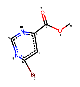 COC(=O)c1cc(Br)ncn1